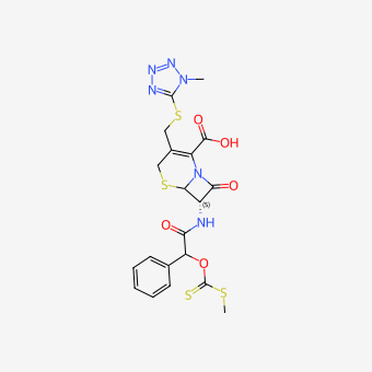 CSC(=S)OC(C(=O)N[C@H]1C(=O)N2C(C(=O)O)=C(CSc3nnnn3C)CSC12)c1ccccc1